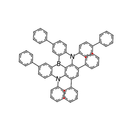 c1ccc(-c2ccc(N3c4ccc(-c5ccccc5)cc4B4c5cc(-c6ccccc6)ccc5N(c5ccccc5)c5c(-c6ccccc6)cc(-c6ccccc6)c3c54)cc2)cc1